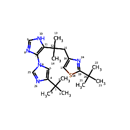 CC(C)(C)c1cn(-c2nc[nH]c2C(C)(C)Cc2csc(C(C)(C)C)n2)cn1